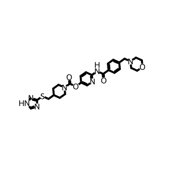 O=C(Nc1ccc(OC(=O)N2CCC(CSc3nc[nH]n3)CC2)cn1)c1ccc(CN2CCOCC2)cc1